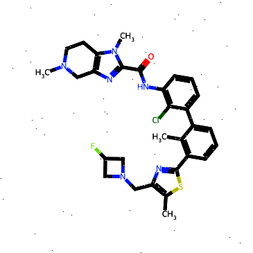 Cc1sc(-c2cccc(-c3cccc(NC(=O)c4nc5c(n4C)CCN(C)C5)c3Cl)c2C)nc1CN1CC(F)C1